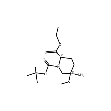 CCOC(=O)[C@H]1CC[C@@](N)(SC)CN1C(=O)OC(C)(C)C